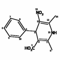 CC1=C(C(=O)O)C(c2ccccc2)C([N+](=O)[O-])=C(C)N1